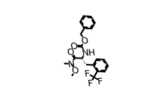 CON(C)C(=O)[C@@H](Cc1ccccc1C(F)(F)F)NC(=O)OCc1ccccc1